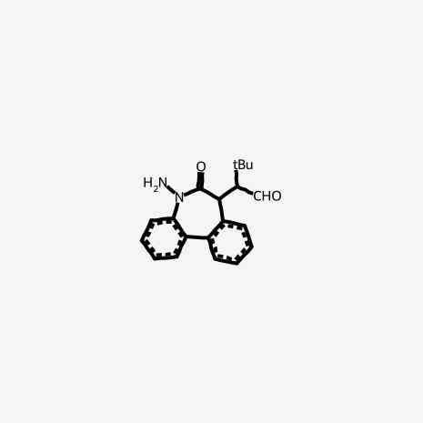 CC(C)(C)C(C=O)C1C(=O)N(N)c2ccccc2-c2ccccc21